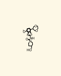 COc1ccc(C2COCCOC2)c2sc(NC(=O)N3CCC(CO)CC3)nc12